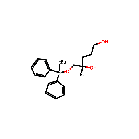 CCC(O)(CCCO)CO[Si](c1ccccc1)(c1ccccc1)C(C)(C)C